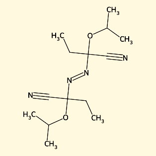 CCC(C#N)(/N=N/C(C#N)(CC)OC(C)C)OC(C)C